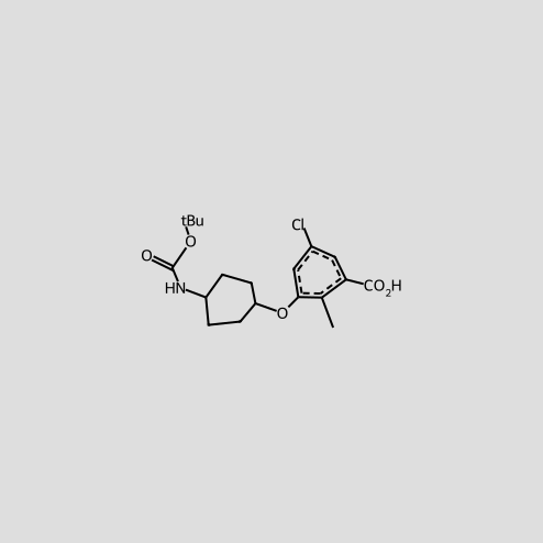 Cc1c(OC2CCC(NC(=O)OC(C)(C)C)CC2)cc(Cl)cc1C(=O)O